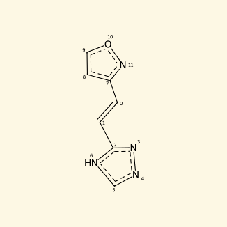 C(=C\c1nnc[nH]1)/c1ccon1